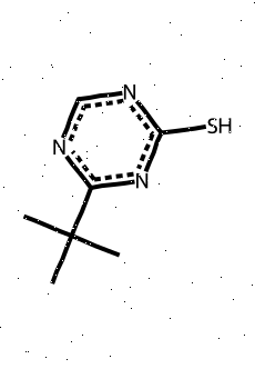 CC(C)(C)c1ncnc(S)n1